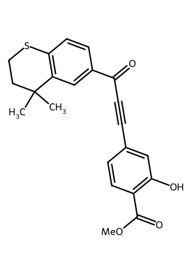 COC(=O)c1ccc(C#CC(=O)c2ccc3c(c2)C(C)(C)CCS3)cc1O